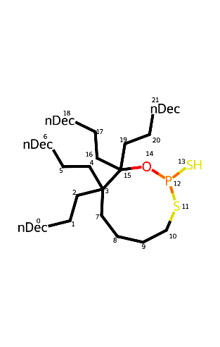 CCCCCCCCCCCCC1(CCCCCCCCCCCC)CCCCSP(S)OC1(CCCCCCCCCCCC)CCCCCCCCCCCC